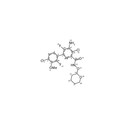 COc1c(Cl)ccc(-c2nc(C(=O)NOC3CCCCO3)c(Cl)c(N)c2F)c1F